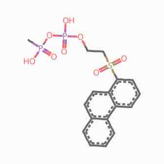 CP(=O)(O)OP(=O)(O)OCCS(=O)(=O)c1cccc2c1ccc1ccccc12